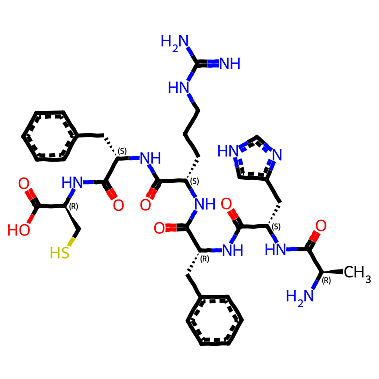 C[C@@H](N)C(=O)N[C@@H](Cc1c[nH]cn1)C(=O)N[C@H](Cc1ccccc1)C(=O)N[C@@H](CCCNC(=N)N)C(=O)N[C@@H](Cc1ccccc1)C(=O)N[C@@H](CS)C(=O)O